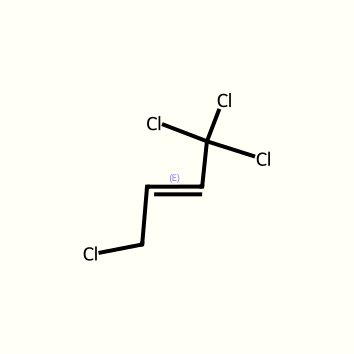 ClC/C=C/C(Cl)(Cl)Cl